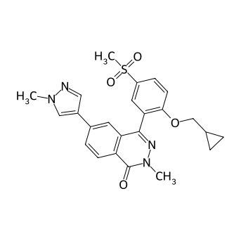 Cn1cc(-c2ccc3c(=O)n(C)nc(-c4cc(S(C)(=O)=O)ccc4OCC4CC4)c3c2)cn1